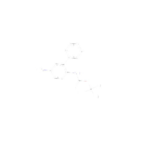 CC(C)(C)OC(=O)Nc1ccc(N)cc1-c1ccccc1